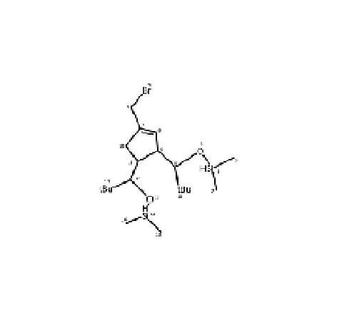 C[SiH](C)OC(C1C=C(CBr)CC1C(O[SiH](C)C)C(C)(C)C)C(C)(C)C